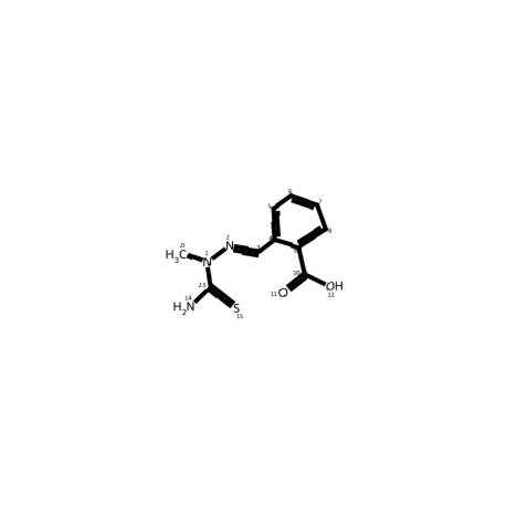 CN(/N=C/c1ccccc1C(=O)O)C(N)=S